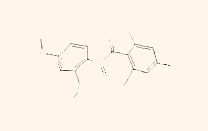 COc1ccc([PH](=O)C(=O)c2c(C)cc(C)cc2C)c(OC)c1